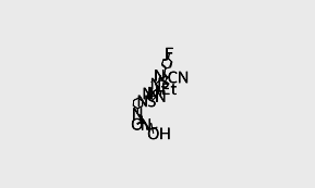 CCc1nc2sc(N3CCCC(N(C)CC(=O)N4CC(C)(O)C4)C3)nn2c1N(C)c1nc(-c2ccc(F)cc2)c(C#N)s1